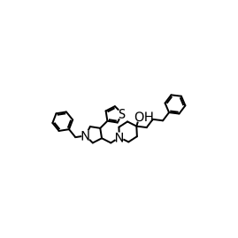 OC1(CCCc2ccccc2)CCN(CC2CN(Cc3ccccc3)CC2c2ccsc2)CC1